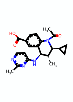 CC(=O)N1c2ccc(C(=O)O)cc2[C@H](Nc2ccnc(C)n2)[C@@H](C)[C@@H]1C1CC1